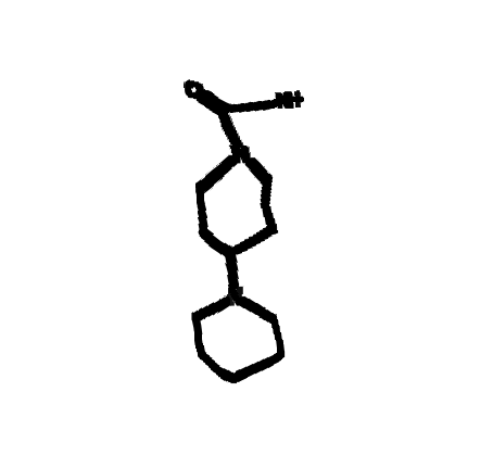 [NH]C(=O)N1CCC(N2CCCCC2)CC1